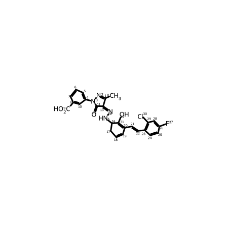 CC1=NN(c2cccc(C(=O)O)c2)C(=O)/C1=N\NC1CC=CC(/C=C/c2ccc(F)cc2Cl)=C1O